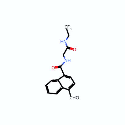 O=Cc1ccc(C(=O)NCC(=O)NCC(F)(F)F)c2ccccc12